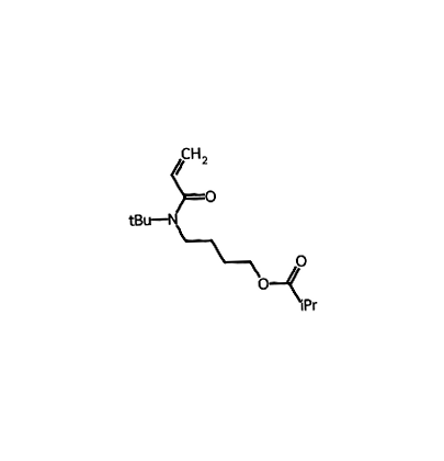 C=CC(=O)N(CCCCOC(=O)C(C)C)C(C)(C)C